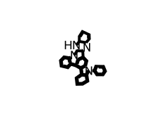 C1=CC2N=C3c4cc5c(c6ccccc6n5-c5ccccc5)c5c6ccccc6n(c45)C3NC2C=C1